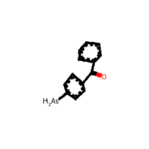 O=C(c1ccccc1)c1ccc([AsH2])cc1